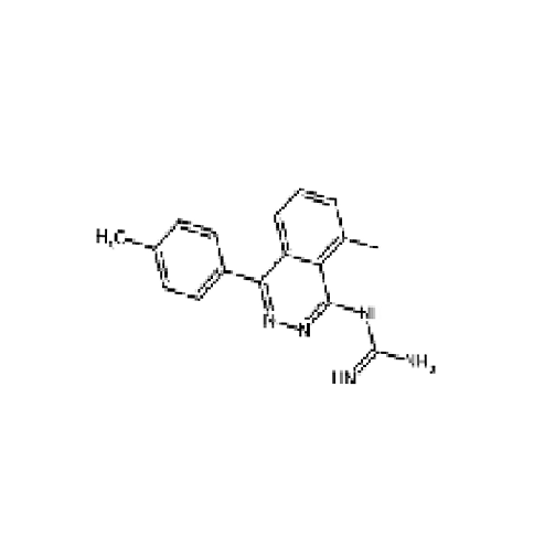 Cc1ccc(-c2nnc(NC(=N)N)c3c(I)cccc23)cc1